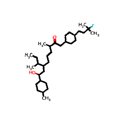 CCC(C)C(CCCC(C)C(=O)CC1CCC(CCC(C)(C)F)CC1)CC(O)C1CCC(C)CC1